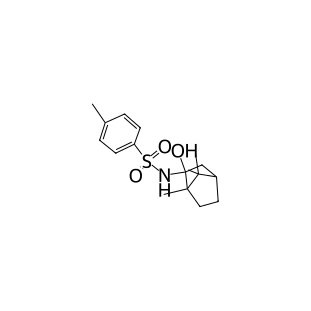 Cc1ccc(S(=O)(=O)NC2(O)CC3CCC2(C)C3(C)C)cc1